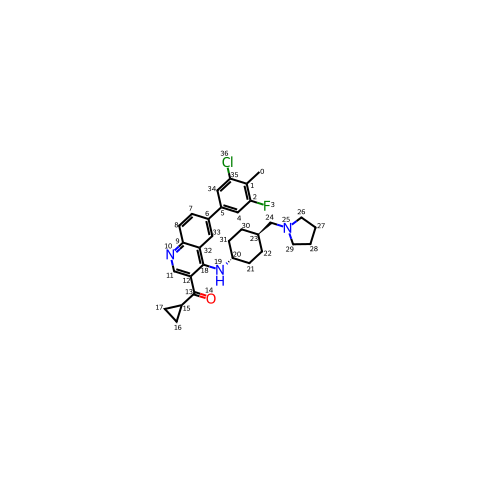 Cc1c(F)cc(-c2ccc3ncc(C(=O)C4CC4)c(N[C@H]4CC[C@H](CN5CCCC5)CC4)c3c2)cc1Cl